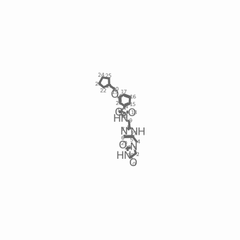 O=C1CN(Cc2cnc(CNS(=O)(=O)c3cccc(OCC4CCCC4)c3)[nH]2)C(=O)N1